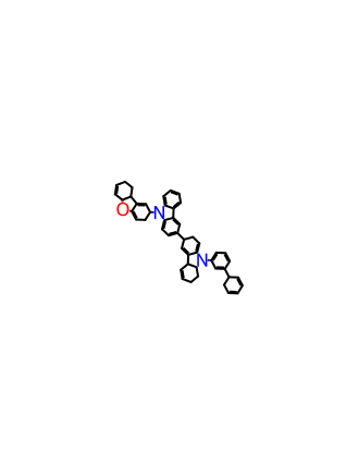 C1=CCC(c2cccc(N3C4=CCC(c5ccc6c(c5)c5ccccc5n6C5C=C6C(=CC5)OC5C=CCCC65)C=C4C4C=CCCC43)c2)C=C1